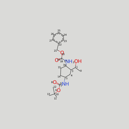 CC(O)C1CC(NC(=O)OC(C)(C)C)CCC1NC(=O)OCc1ccccc1